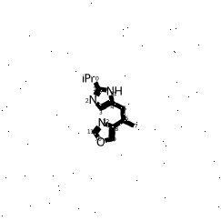 CC(C)c1ncc(CC(C)c2cocn2)[nH]1